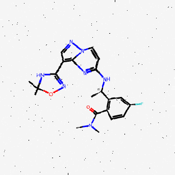 C[C@@H](Nc1ccn2ncc(C3=NOC(C)(C)N3)c2n1)c1cc(F)ccc1C(=O)N(C)C